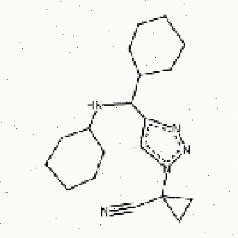 N#CC1(n2cc(C(NC3CCCCC3)C3CCCCC3)nn2)CC1